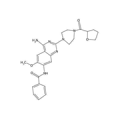 COc1cc2c(N)nc(N3CCN(C(=O)C4CCCO4)CC3)nc2cc1NC(=O)c1ccccc1